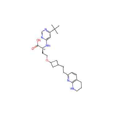 CC(C)(C)c1cc(N[C@@H](CCOC2CC(CCc3ccc4c(n3)NCCC4)C2)C(=O)O)ncn1